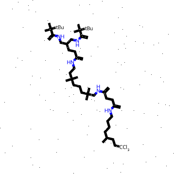 C=C(CCC(=C)NCC(C)(C)CCCC(C)(C)CCNC(=C)CCC(CNC(=C)C(C)(C)C(C)(C)C)CNC(=C)C(C)(C)C(C)(C)C)NCCCCC(C)CCC(Cl)(Cl)Cl